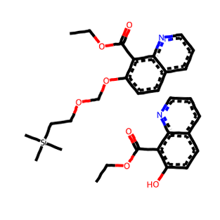 CCOC(=O)c1c(O)ccc2cccnc12.CCOC(=O)c1c(OCOCC[Si](C)(C)C)ccc2cccnc12